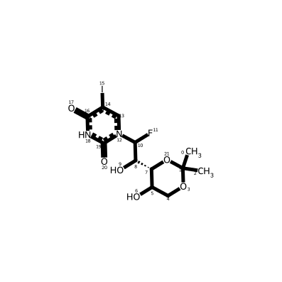 CC1(C)OCC(O)[C@H](C(O)C(F)n2cc(I)c(=O)[nH]c2=O)O1